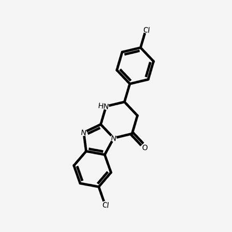 O=C1CC(c2ccc(Cl)cc2)Nc2nc3ccc(Cl)cc3n21